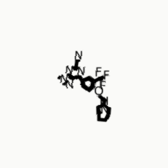 Cn1cnc2c(-c3ccc(OCCC4CC5CCC(C4)N5)c(C(F)(F)F)c3)nc(C#N)nc21